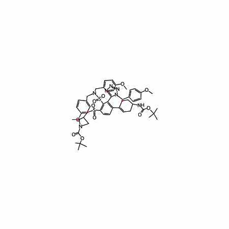 COc1ccc(CN(Cc2ccc(OC)cc2)S(=O)(=O)c2c(S(=O)(=O)CC3CN(C(=O)OC(C)(C)C)C3)ccc(C3=CCC(NC(=O)OC(C)(C)C)CC3)c2-c2nnnn2Cc2ccc(OC)cc2)cc1